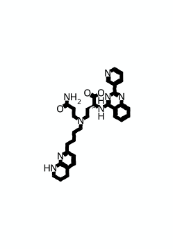 NC(=O)CCN(CCCCc1ccc2c(n1)NCCC2)CC[C@H](Nc1nc(-c2cccnc2)nc2ccccc12)C(=O)O